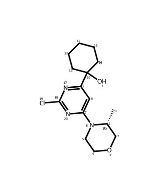 C[C@@H]1COCCN1c1cc(C2(O)CCCCC2)nc(Cl)n1